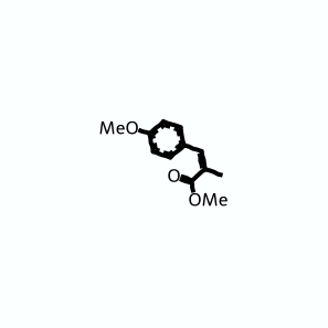 COC(=O)C(C)=Cc1ccc(OC)cc1